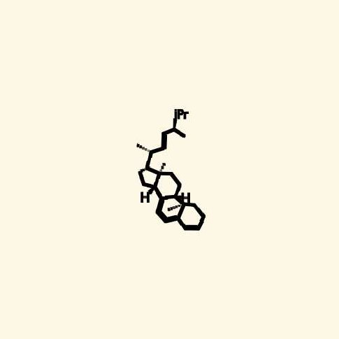 CC(C)[C@@H](C)C=C[C@@H](C)[C@H]1CC[C@H]2C3=C=C=C4C=CCC[C@]4(C)[C@H]3CC[C@]12C